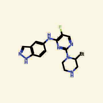 CCC1CNCCN1c1ncc(F)c(Nc2ccc3[nH]ncc3c2)n1